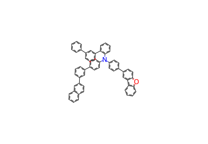 c1ccc(-c2cccc(-c3ccccc3N(c3ccc(-c4cccc(-c5ccc6ccccc6c5)c4)cc3)c3ccc(-c4ccc5oc6ccccc6c5c4)cc3)c2)cc1